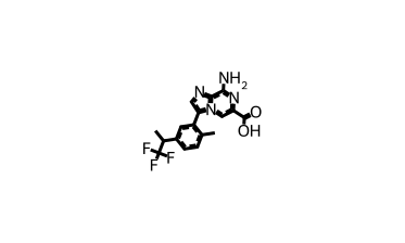 Cc1ccc(C(C)C(F)(F)F)cc1-c1cnc2c(N)nc(C(=O)O)cn12